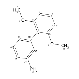 COc1cccc(OC)c1-c1cccc(P)c1